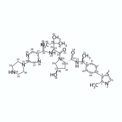 Cc1ncsc1-c1ccc([C@H](C)NC(=O)[C@@H]2C[C@@H](O)CN2C(=O)[C@@H](NC(=O)c2cnc(N3CCNCC3)cn2)C(C)(C)C)cc1